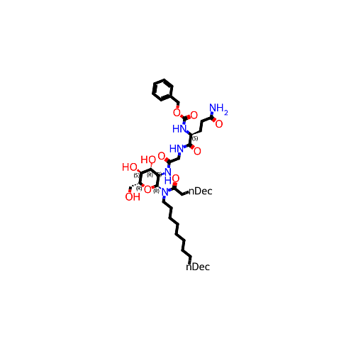 CCCCCCCCCCCCCCCCCCN(C(=O)CCCCCCCCCCC)[C@@H]1O[C@H](CO)[C@@H](O)[C@H](O)[C@H]1NC(=O)CNC(=O)[C@H](CCC(N)=O)NC(=O)OCc1ccccc1